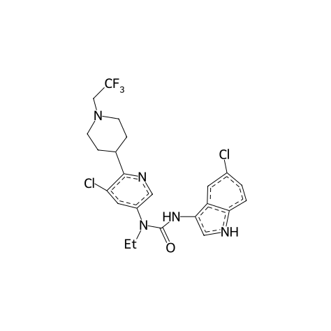 CCN(C(=O)Nc1c[nH]c2ccc(Cl)cc12)c1cnc(C2CCN(CC(F)(F)F)CC2)c(Cl)c1